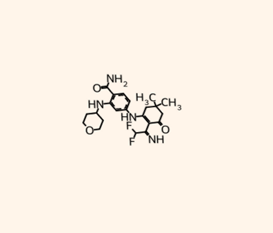 CC1(C)CC(=O)C(C(=N)C(F)F)=C(Nc2ccc(C(N)=O)c(NC3CCOCC3)c2)C1